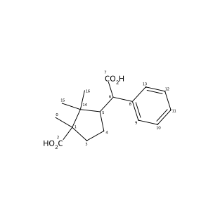 CC1(C(=O)O)CCC(C(C(=O)O)c2ccccc2)C1(C)C